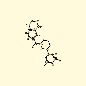 Cc1cc(C2CCCN(C(C)c3ccc4c(n3)OCCO4)C2)nc(C)n1